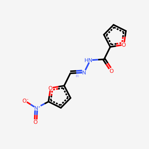 O=C(N/N=C/c1ccc([N+](=O)[O-])o1)c1ccco1